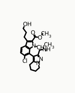 CNCc1nn2c(c1-c1c(Cl)ccc3c(CCCO)c(C(=O)OC)n(C)c13)CCCC2